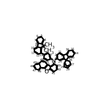 CC1(C)c2ccccc2-c2cccc(-c3ccc(N(c4ccc5c(c4)C4(CC6CCC4C6)c4ccccc4-5)c4cccc5oc6c7ccccc7ccc6c45)cc3)c21